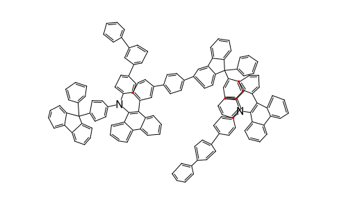 c1ccc(-c2ccc(-c3ccc(N(c4ccc(C5(c6ccccc6)c6ccccc6-c6cc(-c7ccc(-c8cccc(-c9c(N(c%10ccc(-c%11cccc(-c%12ccccc%12)c%11)cc%10)c%10ccc(C%11(c%12ccccc%12)c%12ccccc%12-c%12ccccc%12%11)cc%10)c%10ccccc%10c%10ccccc9%10)c8)cc7)ccc65)cc4)c4c(-c5ccccc5-c5ccccc5)c5ccccc5c5ccccc45)cc3)cc2)cc1